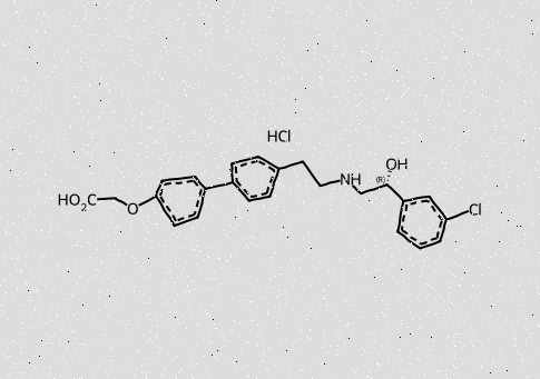 Cl.O=C(O)COc1ccc(-c2ccc(CCNC[C@H](O)c3cccc(Cl)c3)cc2)cc1